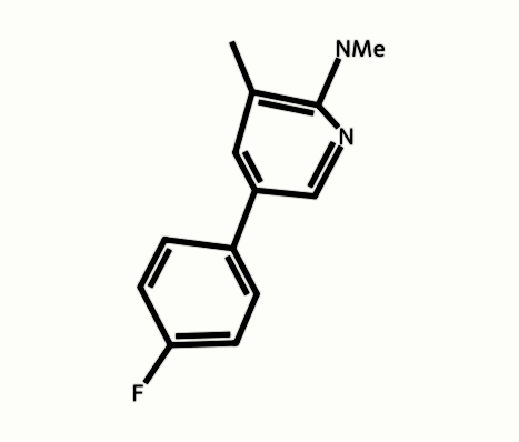 CNc1ncc(-c2ccc(F)cc2)cc1C